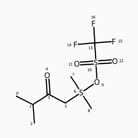 CC(C)C(=O)CS(C)(C)OS(=O)(=O)C(F)(F)F